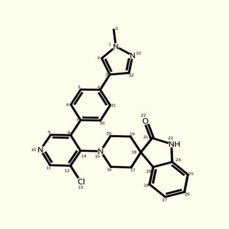 Cn1cc(-c2ccc(-c3cncc(Cl)c3N3CCC4(CC3)C(=O)Nc3ccccc34)cc2)cn1